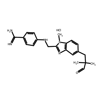 Cl.Cn1c(CNc2ccc(C(=N)N)cc2)nc2cc(CC(C)(C)C=O)ccc21